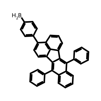 Bc1ccc(-c2ccc3c4c(cccc24)-c2c-3c(-c3ccccc3)c3ccccc3c2-c2ccccc2)cc1